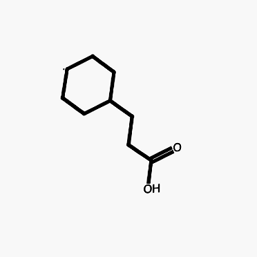 O=C(O)CCC1CC[CH]CC1